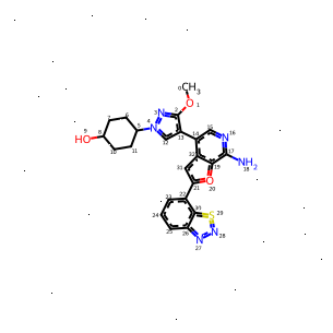 COc1nn(C2CCC(O)CC2)cc1-c1cnc(N)c2oc(-c3cccc4nnsc34)cc12